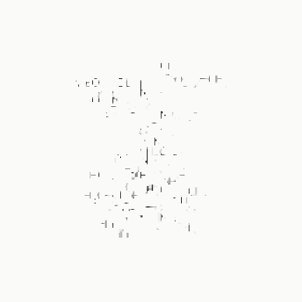 C/C=C/C[C@@H](C)[C@@H](OC(=O)C(F)(F)F)[C@@H](C(=O)N[C@@H](CC)C(=O)N(C)CC(=O)OC)N(C)C(=O)[C@H](C(C)C)N(C)C(=O)[C@H](CC(C)C)N(C)CC(C=O)(CC(C)C)N(C)C(=O)[C@H](C)NC(=O)[C@@H](C)NC(=O)[C@H](CC(C)C)N(C)C(=O)[C@@H](NC(=O)[C@H](CO)N(C)C(=O)OC(C)(C)C)C(C)C